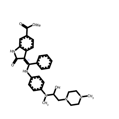 COC(=O)c1ccc2c(c1)NC(=O)/C2=C(\Nc1ccc(N(C)C(O)CN2CCN(C)CC2)cc1)c1ccccc1